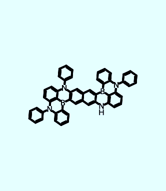 c1ccc(N2c3ccccc3B3c4cc5cc6c(cc5cc4Nc4cccc2c43)B2c3ccccc3N(c3ccccc3)c3cccc(c32)N6c2ccccc2)cc1